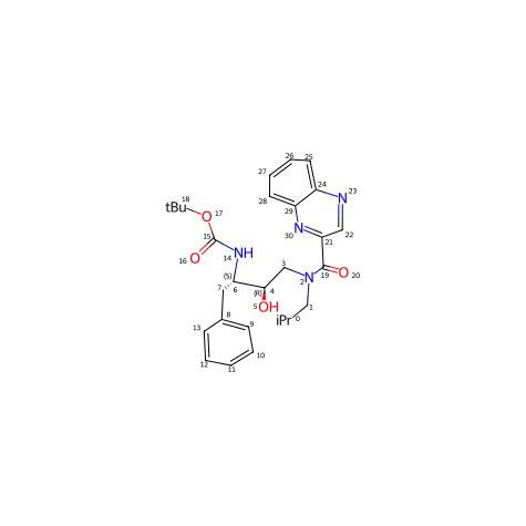 CC(C)CN(C[C@@H](O)[C@H](Cc1ccccc1)NC(=O)OC(C)(C)C)C(=O)c1cnc2ccccc2n1